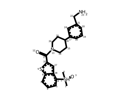 C[SH](C)(=O)c1cccc2sc(C(=O)N3CCC(c4cccc(CN)c4)CC3)cc12